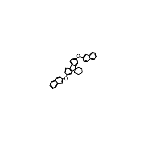 c1ccc2cc(Oc3ccc4c(c3)C3(CCCCC3)c3cc(Oc5ccc6ccccc6c5)ccc3-4)ccc2c1